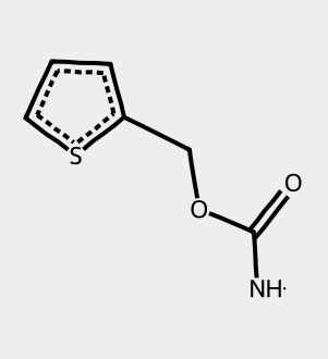 [NH]C(=O)OCc1cccs1